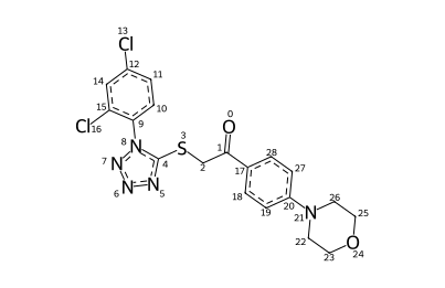 O=C(CSc1nnnn1-c1ccc(Cl)cc1Cl)c1ccc(N2CCOCC2)cc1